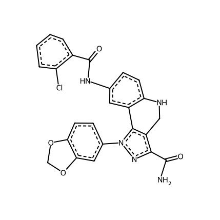 NC(=O)c1nn(-c2ccc3c(c2)OCO3)c2c1CNc1ccc(NC(=O)c3ccccc3Cl)cc1-2